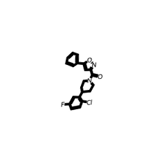 O=C(c1cc(-c2ccccc2)on1)N1CCC(c2cc(F)ccc2Cl)CC1